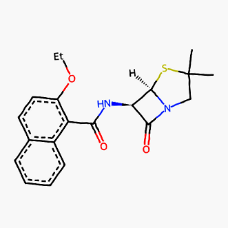 CCOc1ccc2ccccc2c1C(=O)N[C@@H]1C(=O)N2CC(C)(C)S[C@H]12